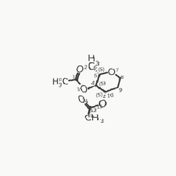 CC(=O)O[C@H]1[C@H](C)OCC[C@@H]1OC(C)=O